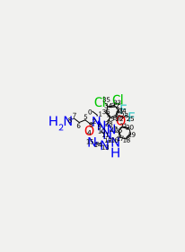 CCN(C(=O)CCCN)N1CN(/C(=N\C#N)Nc2cccc(OC(F)F)c2)N=C1c1ccc(Cl)c(Cl)c1